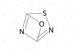 n1sc2nc1O2